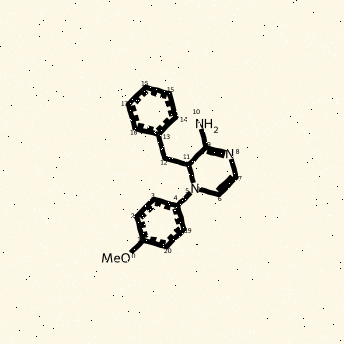 COc1ccc(N2C=CN=C(N)C2Cc2ccccc2)cc1